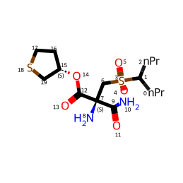 CCCC(CCC)S(=O)(=O)C[C@](N)(C(N)=O)C(=O)O[C@H]1CCSC1